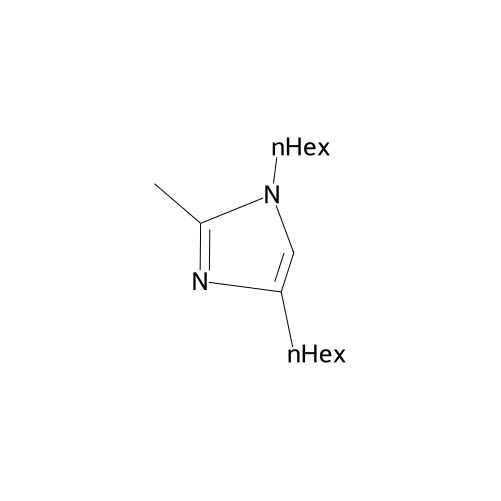 CCCCCCc1cn(CCCCCC)c(C)n1